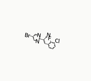 N#CC(=Cc1cccc(Cl)c1F)c1ncc(Br)cn1